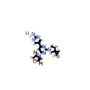 Nc1ncc(-c2cc(N3C[C@@H]4C[C@H]3CO4)nc(N3CCC4(C3)CC4(F)F)n2)cn1